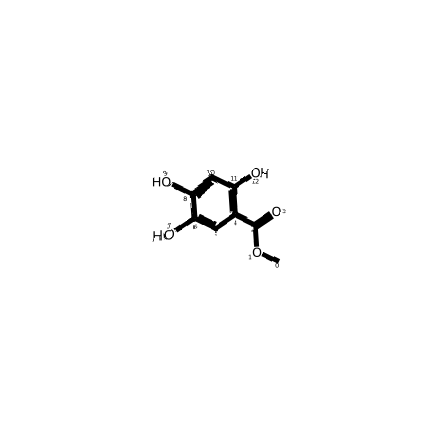 COC(=O)c1cc(O)c(O)cc1O